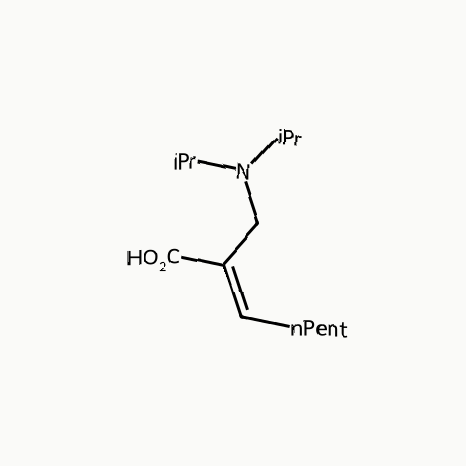 CCCCCC=C(CN(C(C)C)C(C)C)C(=O)O